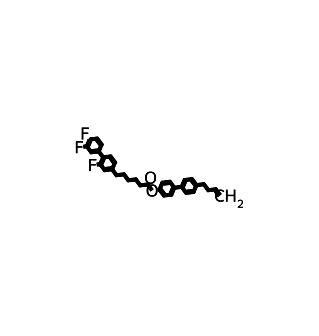 C=CCCc1ccc(-c2ccc(OC(=O)CCCCCc3ccc(-c4ccc(F)c(F)c4)c(F)c3)cc2)cc1